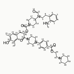 CNc1ccccc1CCN(C=O)C1CCN(C(=O)O[C@H](Cc2cc(C)c(O)c(C)c2)C(=O)N2CCN(c3ccc(C(=O)OCCN4CCCCC4)cc3)CC2)CC1